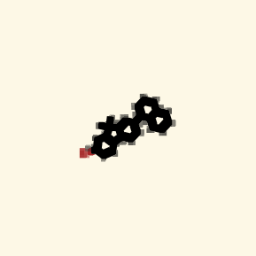 CC1(C)c2cc(Br)ccc2-c2ccc(-c3cccc4ccccc34)cc21